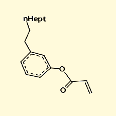 C=CC(=O)Oc1cccc(CCCCCCCCC)c1